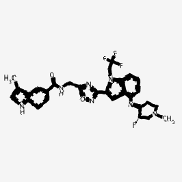 Cc1c[nH]c2ccc(C(=O)NCc3nc(-c4cc5c(/N=C6\CCN(C)C[C@@H]6F)cccc5n4CC(F)(F)F)no3)cc12